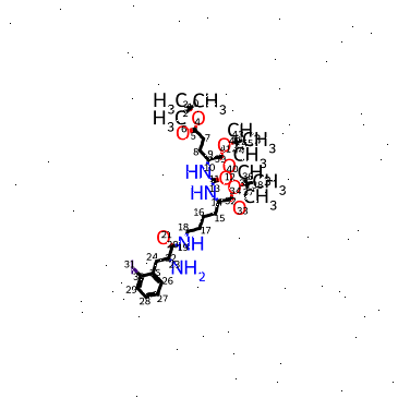 CC(C)(C)OC(=O)CCC(NC(=O)NC(CCCCNC(=O)C(N)Cc1ccccc1I)C(=O)OC(C)(C)C)C(=O)OC(C)(C)C